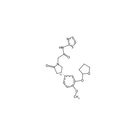 COc1ccc([C@@H]2CC(=O)N(CC(=O)Nc3nccs3)C2)cc1OC1CCCO1